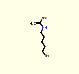 C=C(NCCCCCC(C)C)C(C)(C)C